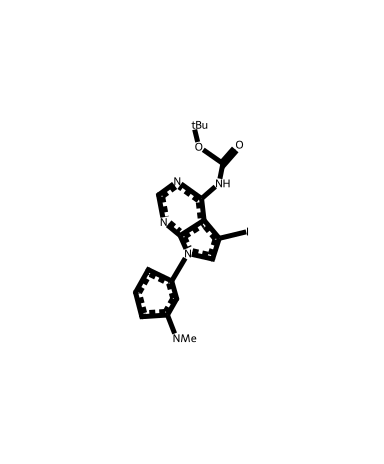 CNc1cccc(-n2cc(I)c3c(NC(=O)OC(C)(C)C)ncnc32)c1